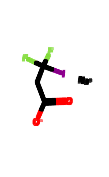 O=C([O-])CC(F)(F)I.[Na+]